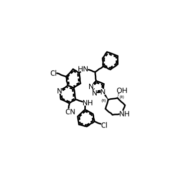 N#Cc1cnc2c(Cl)cc(NC(c3ccccc3)c3cn([C@@H]4CCNC[C@H]4O)nn3)cc2c1Nc1cccc(Cl)c1